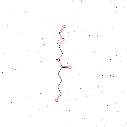 O=CCCCC(=O)OCCOC=O